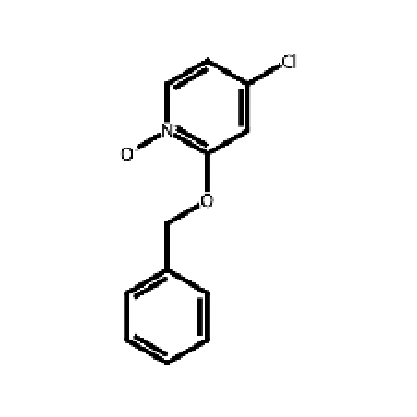 [O-][n+]1ccc(Cl)cc1OCc1ccccc1